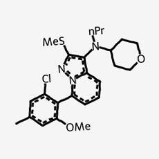 CCCN(c1c(SC)nn2c(-c3c(Cl)cc(C)cc3OC)cccc12)C1CCOCC1